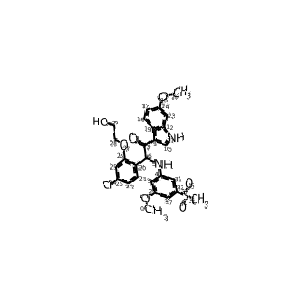 COc1cc(NC(C(=O)c2c[nH]c3cc(OC)ccc23)c2ccc(Cl)cc2OCCO)cc(S(C)(=O)=O)c1